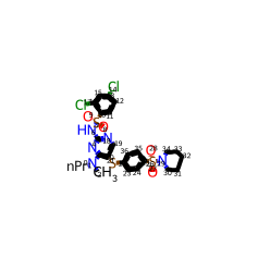 CCCN(C)c1nc(NS(=O)(=O)c2ccc(Cl)cc2Cl)ncc1Sc1ccc(S(=O)(=O)N2CCCCC2)cc1